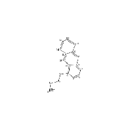 CC(C)CCCc1[c]ccc2cc3ccccc3cc12